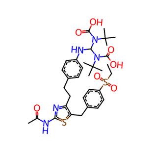 CCS(=O)(=O)c1ccc(Cc2sc(NC(C)=O)nc2CCc2ccc(NC(N(C(=O)O)C(C)(C)C)N(C(=O)O)C(C)(C)C)cc2)cc1